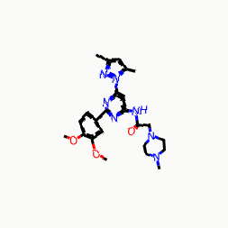 COc1ccc(-c2nc(NC(=O)CN3CCN(C)CC3)cc(-n3nc(C)cc3C)n2)cc1OC